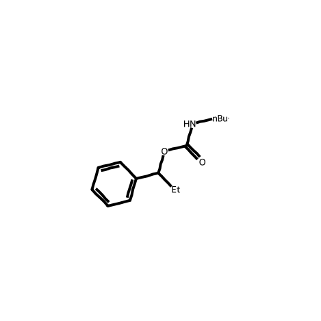 CCC[CH]NC(=O)OC(CC)c1ccccc1